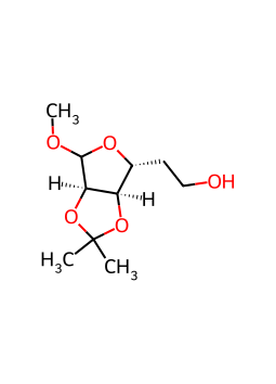 COC1O[C@H](CCO)[C@H]2OC(C)(C)O[C@@H]12